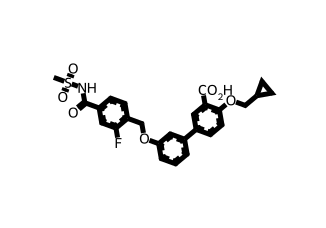 CS(=O)(=O)NC(=O)c1ccc(COc2cccc(-c3ccc(OCC4CC4)c(C(=O)O)c3)c2)c(F)c1